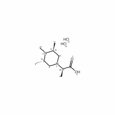 C[C@H](C(=O)O)N1C[C@H](C)N(C)[C@@H](C)C1.Cl.Cl